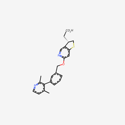 Cc1ccnc(C)c1-c1cccc(COc2cc3c(cn2)[C@H](CC(=O)O)CS3)c1